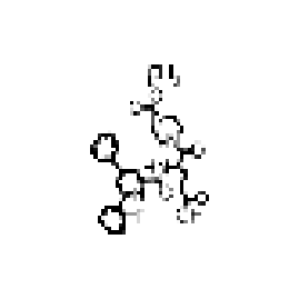 CCOC(=O)N1CCN(C(=O)C(CCC(=O)O)NC(=O)c2cc(-c3ccccc3)cc(-c3ccccc3F)n2)CC1